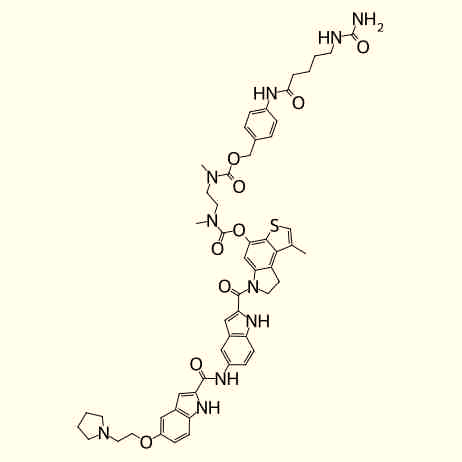 Cc1csc2c(OC(=O)N(C)CCN(C)C(=O)OCc3ccc(NC(=O)CCCCNC(N)=O)cc3)cc3c(c12)CCN3C(=O)c1cc2cc(NC(=O)c3cc4cc(OCCN5CCCC5)ccc4[nH]3)ccc2[nH]1